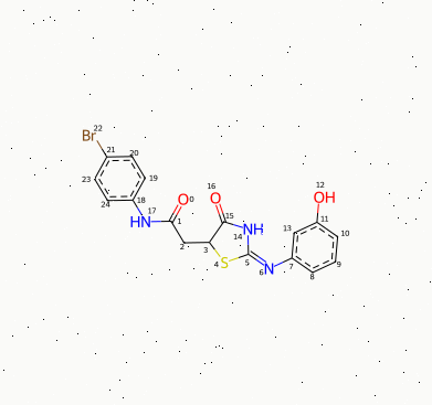 O=C(CC1S/C(=N/c2cccc(O)c2)NC1=O)Nc1ccc(Br)cc1